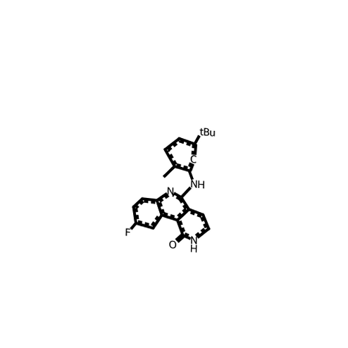 Cc1ccc(C(C)(C)C)cc1Nc1nc2ccc(F)cc2c2c(=O)[nH]ccc12